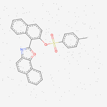 Cc1ccc(S(=O)(=O)Oc2ccc3ccccc3c2-c2nc3ccc4ccccc4c3o2)cc1